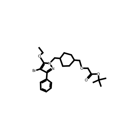 CCOc1c(Br)c(-c2ccccc2)nn1CC1CCC(COCC(=O)OC(C)(C)C)CC1